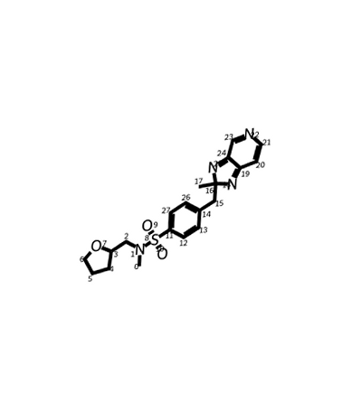 CN(CC1CCCO1)S(=O)(=O)c1ccc(CC2(C)N=c3ccncc3=N2)cc1